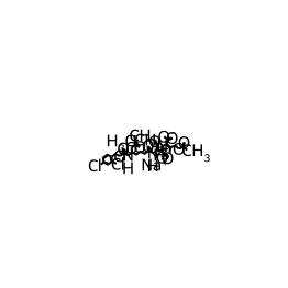 CC(=O)OCC1=C(C(=O)[O-])N2C(=O)[C@H](NC(=O)CCCC(NC(=O)OCc3ccc(Cl)cc3Cl)OC(=O)C(C)(C)C)[C@@H]2S(=O)(=O)C1.[Na+]